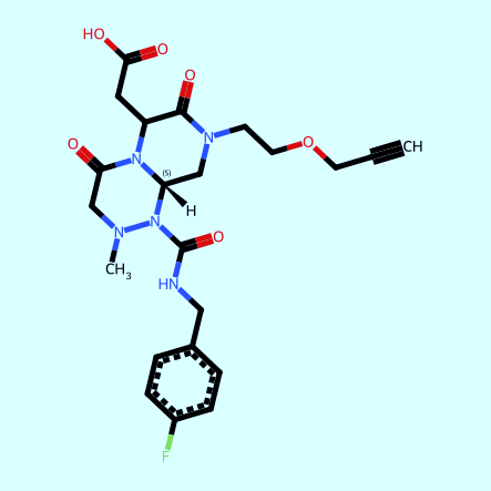 C#CCOCCN1C[C@H]2N(C(=O)CN(C)N2C(=O)NCc2ccc(F)cc2)C(CC(=O)O)C1=O